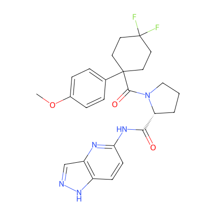 COc1ccc(C2(C(=O)N3CCC[C@@H]3C(=O)Nc3ccc4[nH]ncc4n3)CCC(F)(F)CC2)cc1